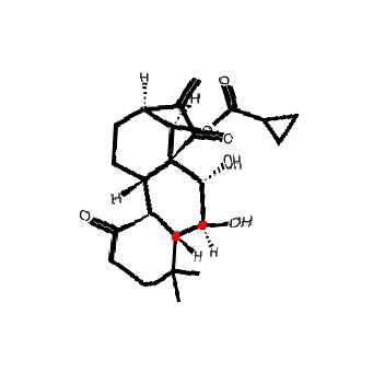 C=C1C(=O)[C@]23[C@H](OC(=O)C4CC4)[C@H]1CC[C@H]2[C@@]12CO[C@@]3(O)[C@@H](O)[C@@H]1C(C)(C)CCC2=O